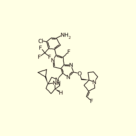 Nc1cc(Cl)c(C(F)(F)F)c(-c2ncc3c(N4C[C@@H]5CC[C@](C6CC6)(C4)N5)nc(OC[C@@]45CCCN4C/C(=C\F)C5)nc3c2F)c1